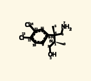 C[C@H](CO)[C@@](C)(CN)c1ccc(Cl)c(Cl)c1